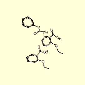 CCOc1ccccc1C(=O)O.CCOc1ccccc1C(=O)O.O=C(O)Oc1ccccc1